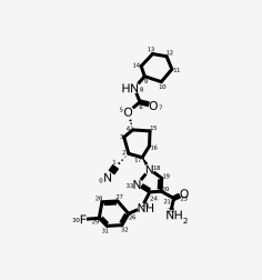 N#C[C@@H]1C[C@H](OC(=O)NC2CCCCC2)CC[C@H]1n1cc(C(N)=O)c(Nc2ccc(F)cc2)n1